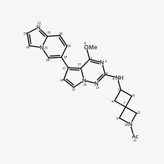 COc1nc(NC2CC3(C2)CN(C(C)=O)C3)nn2ccc(-c3ccc4nccn4c3)c12